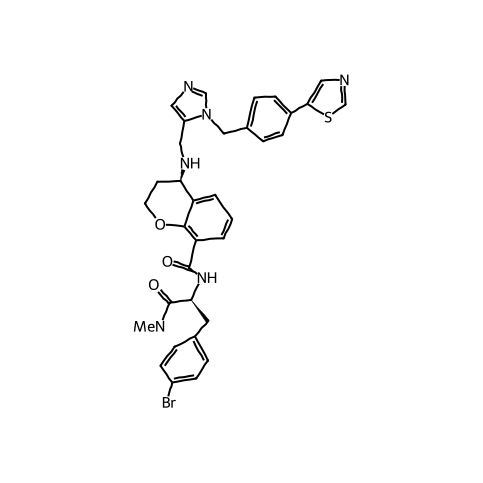 CNC(=O)[C@H](Cc1ccc(Br)cc1)NC(=O)c1cccc2c1OCC[C@H]2NCc1cncn1Cc1ccc(-c2cncs2)cc1